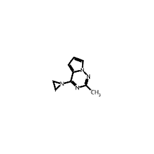 Cc1nc(N2CC2)c2cccn2n1